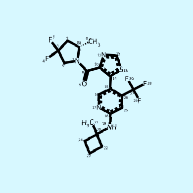 C[C@H]1CC(F)(F)CN1C(=O)c1ncsc1-c1cnc(NC2(C)CCC2)cc1C(F)(F)F